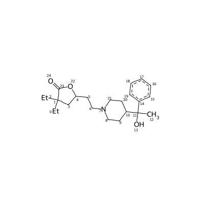 CCC1(CC)CC(CCN2CCC(C(C)(O)c3ccccc3)CC2)OC1=O